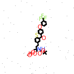 COCOCC(CO)(CCc1ccc2sc3cc(Oc4cccc(C(F)(F)F)c4)ccc3c(=O)c2c1)NC(=O)OC(C)(C)C